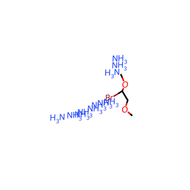 COCC(Br)OC.N.N.N.N.N.N.N.N.N.N.N